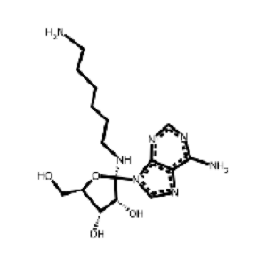 NCCCCCCN[C@@]1(n2cnc3c(N)ncnc32)O[C@H](CO)[C@@H](O)[C@H]1O